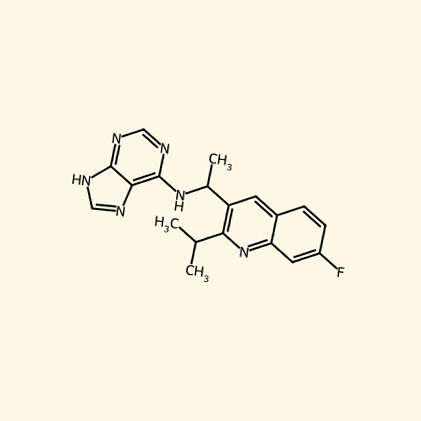 CC(C)c1nc2cc(F)ccc2cc1C(C)Nc1ncnc2[nH]cnc12